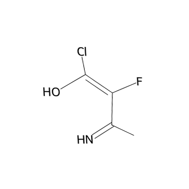 CC(=N)/C(F)=C(\O)Cl